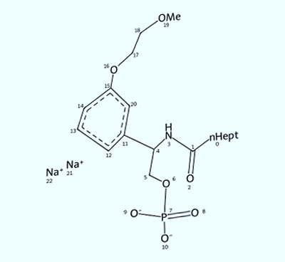 CCCCCCCC(=O)NC(COP(=O)([O-])[O-])c1cccc(OCCOC)c1.[Na+].[Na+]